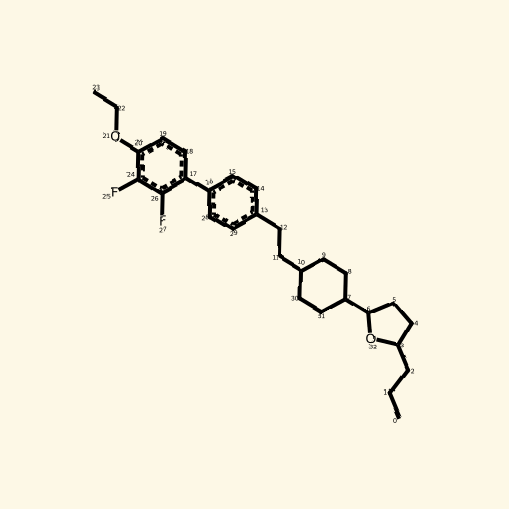 CCCC1CCC(C2CCC(CCc3ccc(-c4ccc(OCC)c(F)c4F)cc3)CC2)O1